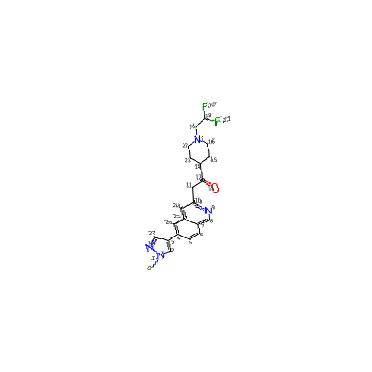 Cn1cc(-c2ccc3cnc(CC(=O)C4CCN(CC(F)F)CC4)cc3c2)cn1